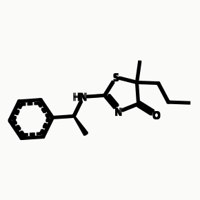 CCCC1(C)SC(N[C@@H](C)c2ccccc2)=NC1=O